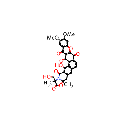 COc1cc2oc3c(c(=O)c2cc1OC)C(=O)c1c(ccc2cc4c(c(O)c12)C(=O)N1C(C)(C4)OC(=O)C1(C)CO)C3=O